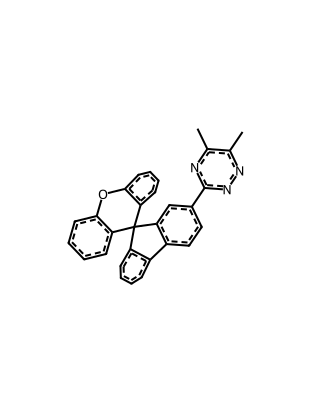 Cc1nnc(-c2ccc3c(c2)C2(c4ccccc4Oc4ccccc42)c2ccccc2-3)nc1C